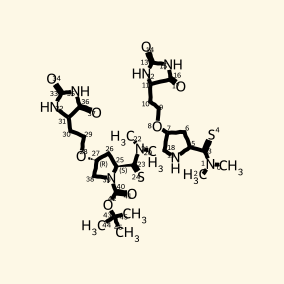 CN(C)C(=S)C1CC(OCCC2NC(=O)NC2=O)CN1.CN(C)C(=S)[C@@H]1C[C@@H](OCCC2NC(=O)NC2=O)CN1C(=O)OC(C)(C)C